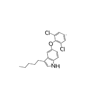 CCCCCc1c[nH]c2ccc(Oc3c(Cl)c[c]cc3Cl)cc12